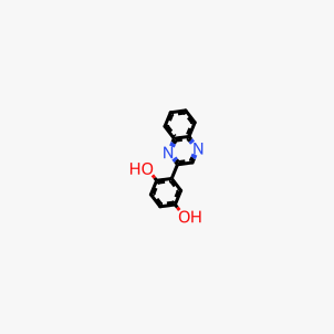 Oc1ccc(O)c(-c2cnc3ccccc3n2)c1